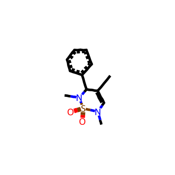 CC1=CN(C)S(=O)(=O)N(C)C1c1ccccc1